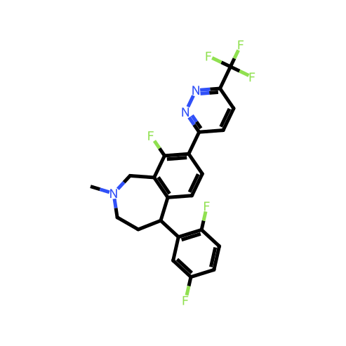 CN1CCC(c2cc(F)ccc2F)c2ccc(-c3ccc(C(F)(F)F)nn3)c(F)c2C1